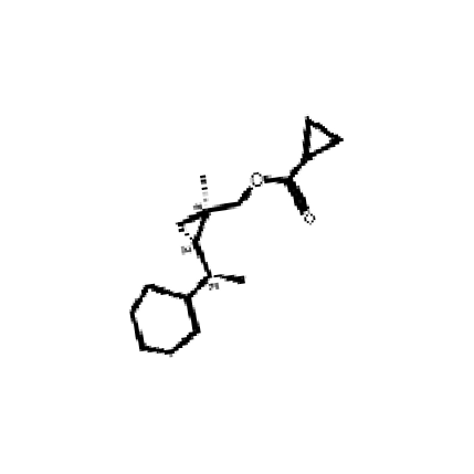 C[C@@H](C1CCCCC1)[C@@H]1C[C@@]1(C)COC(=O)C1CC1